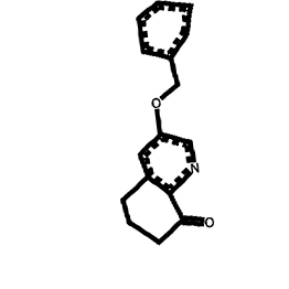 O=C1CCCc2cc(OCc3ccccc3)cnc21